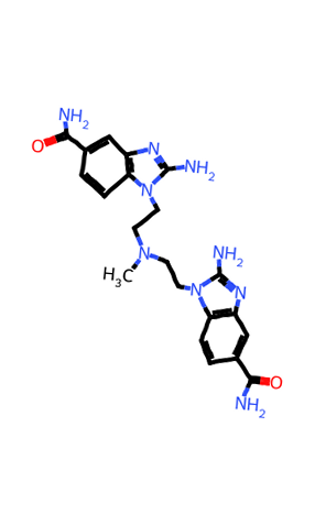 CN(CCn1c(N)nc2cc(C(N)=O)ccc21)CCn1c(N)nc2cc(C(N)=O)ccc21